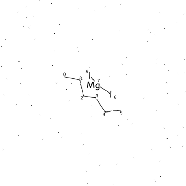 C[CH]CCCC.[I][Mg][I]